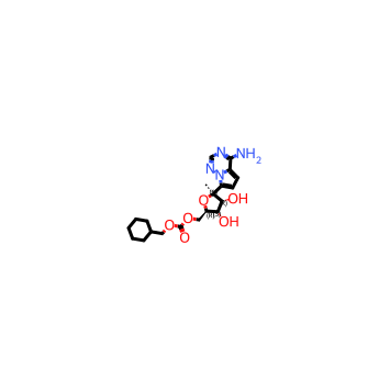 C[C@@]1(c2ccc3c(N)ncnn23)O[C@H](COC(=O)OCC2CCCCC2)[C@@H](O)[C@H]1O